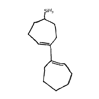 [SiH3]C1CCC=C(C2=CCCCCC2)CC1